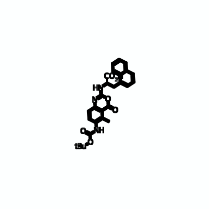 Cc1c(NC(=O)OC(C)(C)C)ccc2nc(N[C@@H](Cc3cccc4ccccc34)C(=O)O)oc(=O)c12